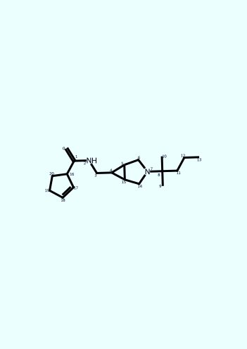 C=C(NCC1C2CN(C(C)(C)CCC)CC12)C1C=CCC1